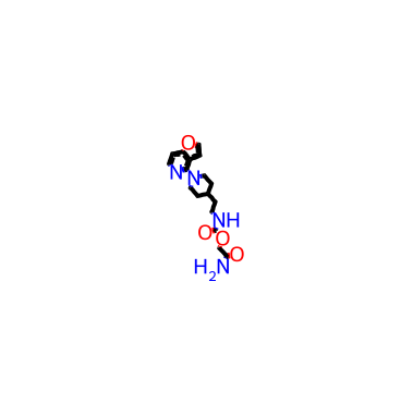 NC(=O)COC(=O)NCCC1CCN(c2nccc3occc23)CC1